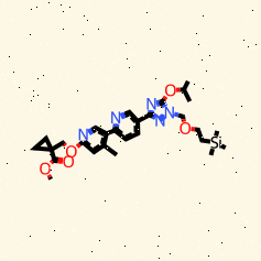 COC(=O)C1(COc2cc(C)c(-c3ccc(-c4nc(OC(C)C)n(COCC[Si](C)(C)C)n4)cn3)cn2)CC1